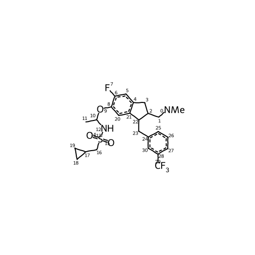 CNCC1Cc2cc(F)c(OC(C)NS(=O)(=O)CC3CC3)cc2C1Cc1cccc(C(F)(F)F)c1